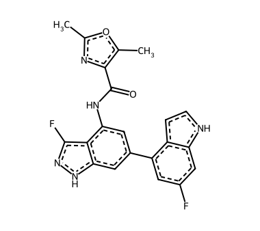 Cc1nc(C(=O)Nc2cc(-c3cc(F)cc4[nH]ccc34)cc3[nH]nc(F)c23)c(C)o1